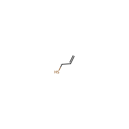 C=C[CH]S